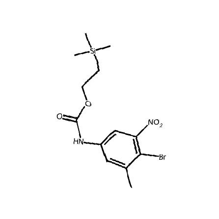 Cc1cc(NC(=O)OCC[Si](C)(C)C)cc([N+](=O)[O-])c1Br